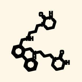 O=C1NCCCN1CCCNCc1cccc(-c2ccccc2)c1CNCCCN1CCCNC1=O